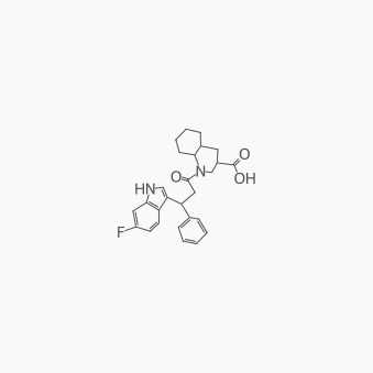 O=C(O)C1CC2CCCCC2N(C(=O)CC(c2ccccc2)c2c[nH]c3cc(F)ccc23)C1